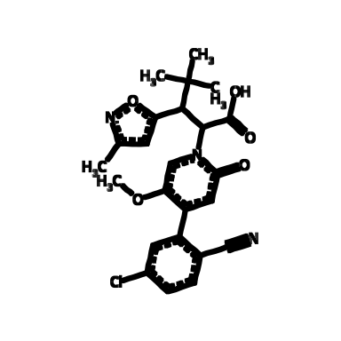 COc1cn(C(C(=O)O)C(c2cc(C)no2)C(C)(C)C)c(=O)cc1-c1cc(Cl)ccc1C#N